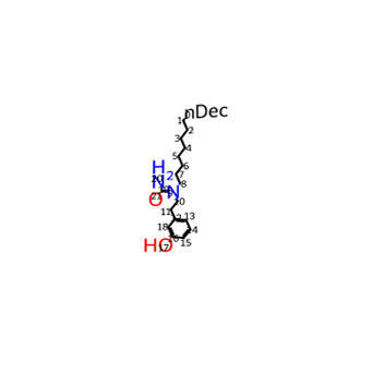 CCCCCCCCCCCCCCCCCCN(CCc1cccc(O)c1)C(N)=O